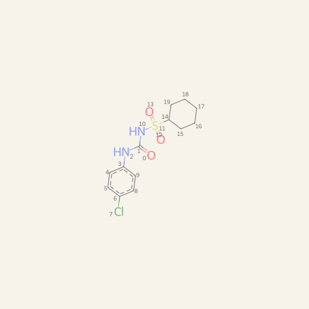 O=C(Nc1ccc(Cl)cc1)NS(=O)(=O)C1CCCCC1